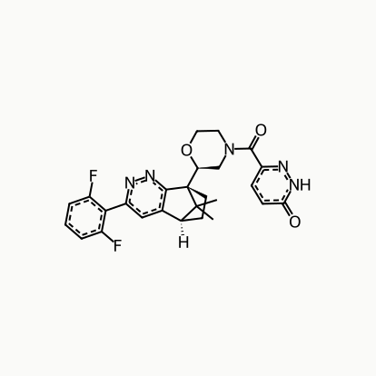 CC1(C)[C@H]2CC[C@]1([C@@H]1CN(C(=O)c3ccc(=O)[nH]n3)CCO1)c1nnc(-c3c(F)cccc3F)cc12